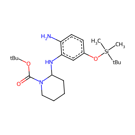 CC(C)(C)OC(=O)N1CCCCC1Nc1cc(O[Si](C)(C)C(C)(C)C)ccc1N